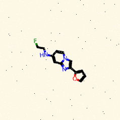 FCCNc1ccn2cc(-c3ccco3)nc2c1